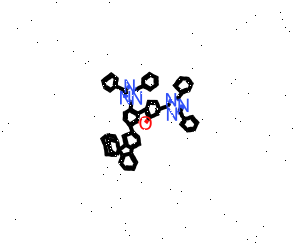 c1ccc(-c2nc(-c3ccccc3)nc(-c3ccc4c(c3)oc3c(-c5ccc6c(c5)C5(c7ccccc7-6)C6CC7CC(C6)CC5C7)ccc(-c5nc(-c6ccccc6)nc(-c6ccccc6)n5)c34)n2)cc1